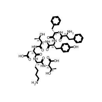 C[C@@H](O)[C@H](NC(=O)[C@H](CCCCN)NC(=O)[C@H](CC(=O)O)NC(=O)[C@@H](NC(=O)[C@H](Cc1ccc(O)cc1)NC(=O)[C@H](Cc1ccccc1)NC(=O)[C@@H](N)Cc1ccccc1)[C@@H](C)O)C(=O)O